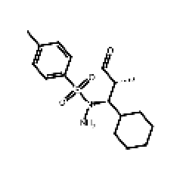 Cc1ccc(S(=O)(=O)N(N)[C@H](C2CCCCC2)[C@@H](C)C=O)cc1